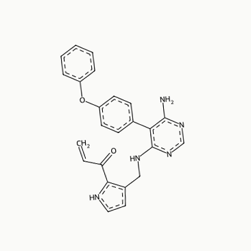 C=CC(=O)c1[nH]ccc1CNc1ncnc(N)c1-c1ccc(Oc2ccccc2)cc1